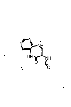 O=CN[C@H]1CNc2ncncc2NC1=O